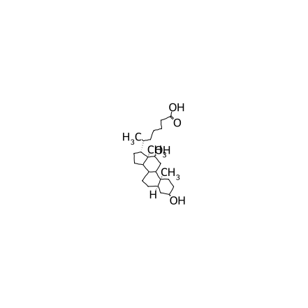 CC(CCCCC(=O)O)[C@H]1CCC2C3CC[C@@H]4C[C@H](O)CC[C@]4(C)C3C[C@H](O)[C@@]21C